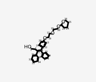 OCCC(=C(c1ccccc1)c1ccc(OCCOCCOC2CCCCO2)cc1)c1ccccc1